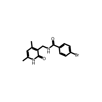 Cc1cc(C)c(CNC(=O)c2ccc(Br)cc2)c(=O)[nH]1